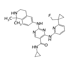 CC1(C)NCCc2cc(Nc3ncc(C(=O)NC4CC4)c(Nc4cccc(C5(CF)CC5)n4)n3)ccc21